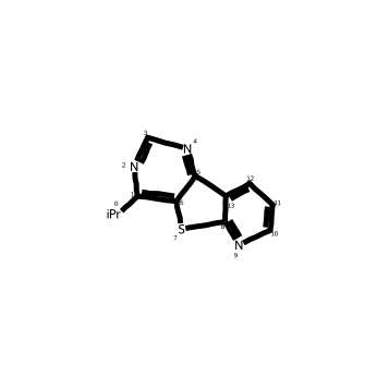 CC(C)c1ncnc2c1sc1ncccc12